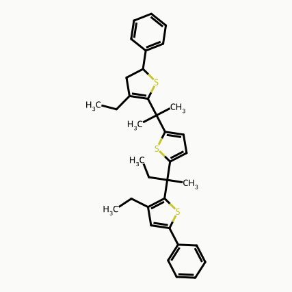 CCC1=C(C(C)(C)c2ccc(C(C)(CC)c3sc(-c4ccccc4)cc3CC)s2)SC(c2ccccc2)C1